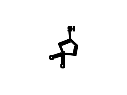 O=S1(=O)C=CC(S)=C1